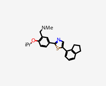 CNCc1cc(-c2ncc(-c3cccc4c3CCC4)s2)ccc1OC(C)C